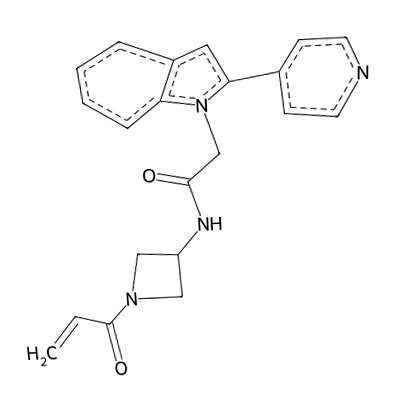 C=CC(=O)N1CC(NC(=O)Cn2c(-c3ccncc3)cc3ccccc32)C1